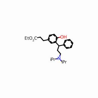 CCOC(=O)CCc1ccc(O)c(C(CCN(C(C)C)C(C)C)c2ccccc2)c1